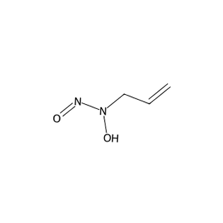 C=CCN(O)N=O